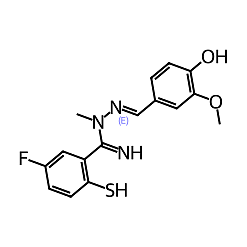 COc1cc(/C=N/N(C)C(=N)c2cc(F)ccc2S)ccc1O